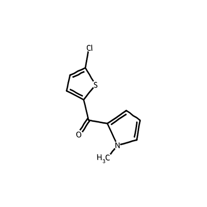 Cn1cccc1C(=O)c1ccc(Cl)s1